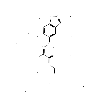 CCOC(=O)C(C)=NNc1ccc2[nH]ncc2c1